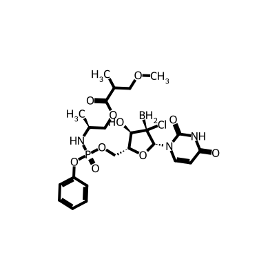 B[C@]1(Cl)[C@H](O)[C@@H](COP(=O)(N[C@@H](C)COC(=O)C(C)COC)Oc2ccccc2)O[C@H]1n1ccc(=O)[nH]c1=O